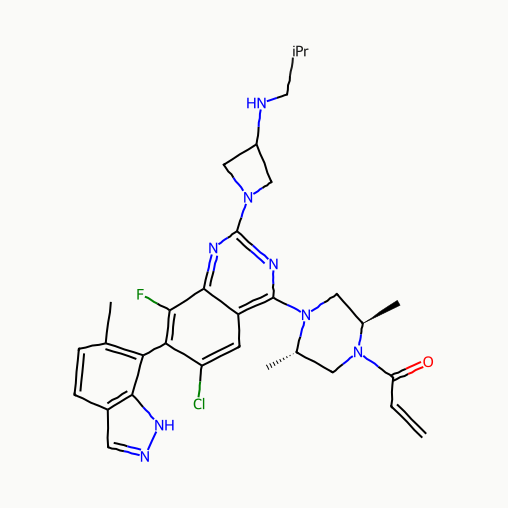 C=CC(=O)N1C[C@H](C)N(c2nc(N3CC(NCC(C)C)C3)nc3c(F)c(-c4c(C)ccc5cn[nH]c45)c(Cl)cc23)C[C@H]1C